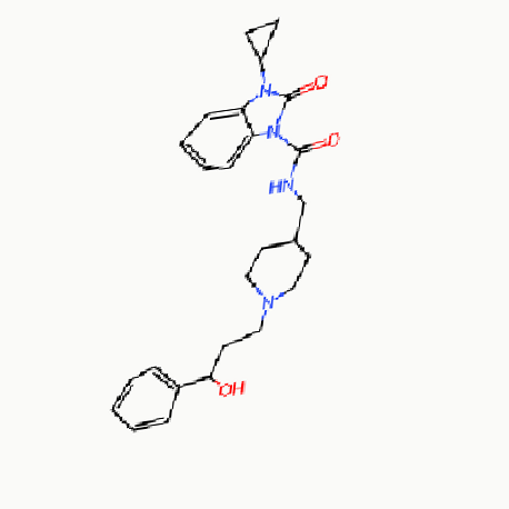 O=C(NCC1CCN(CCC(O)c2ccccc2)CC1)n1c(=O)n(C2CC2)c2ccccc21